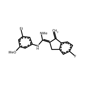 C=C1/C(=C(\NC)Nc2cc(CC)cc(OC)c2)Cc2cc(F)ccc21